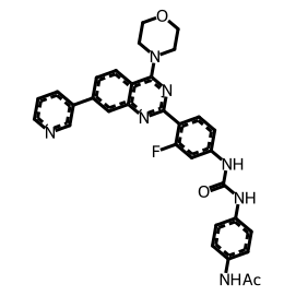 CC(=O)Nc1ccc(NC(=O)Nc2ccc(-c3nc(N4CCOCC4)c4ccc(-c5cccnc5)cc4n3)c(F)c2)cc1